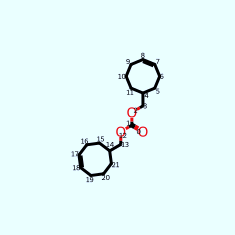 O=C(OCC1CCC=CCCC1)OCC1CCC=CCCC1